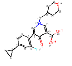 O=c1c(-c2ccc(C3CC3)cc2F)cn(CC2CCOCC2)cc1C(O)O